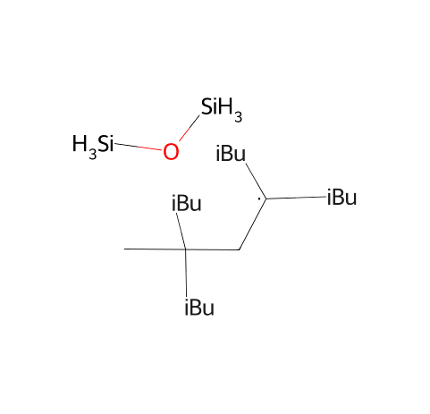 CCC(C)[C](CC(C)(C(C)CC)C(C)CC)C(C)CC.[SiH3]O[SiH3]